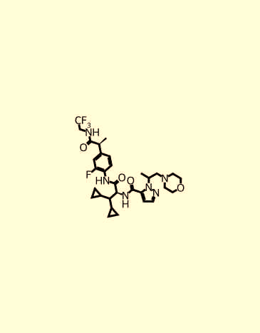 CC(CN1CCOCC1)n1nccc1C(=O)N[C@H](C(=O)Nc1ccc([C@H](C)C(=O)NCC(F)(F)F)cc1F)C(C1CC1)C1CC1